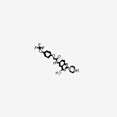 Cc1nc(N2CCNCC2)nc2ccc(NC(=O)COc3ccc(OC(F)(F)F)cc3)cc12